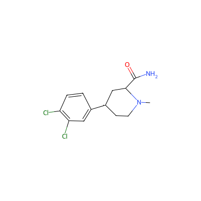 CN1CC[C](c2ccc(Cl)c(Cl)c2)CC1C(N)=O